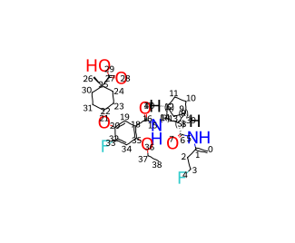 C=C(CCF)NC(=O)[C@H]1[C@@H]2CC[C@@H](C2)[C@H]1NC(=O)c1cc(O[C@H]2CC[C@@](C)(C(=O)O)CC2)c(F)cc1OCC